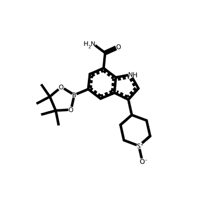 CC1(C)OB(c2cc(C(N)=O)c3[nH]cc(C4CC[S+]([O-])CC4)c3c2)OC1(C)C